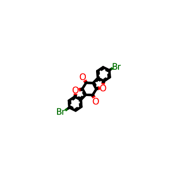 O=C1c2oc3cc(Br)ccc3c2C(=O)c2oc3cc(Br)ccc3c21